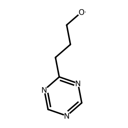 [O]CCCc1ncncn1